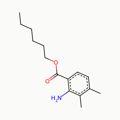 CCCCCCOC(=O)c1ccc(C)c(C)c1N